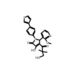 COc1ncccc1C1C(C(=O)C(C)(C)CO)=C(O)C(=O)N1c1ccc(-c2ccsc2)cc1